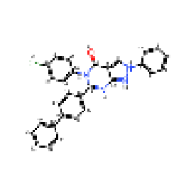 O=c1c2cn(-c3ccccc3)nc2nc(-c2ccc(-c3ccccc3)cc2)n1-c1ccc(Cl)cc1